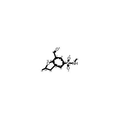 CNS(=O)(=O)c1cc(C=O)c2c(c1)CC(C)O2